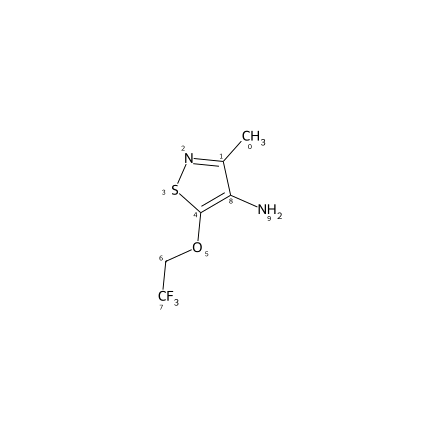 Cc1nsc(OCC(F)(F)F)c1N